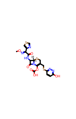 CON=C(C(=O)NC1C(=O)N2C(OC(=O)O)=C(CSc3ccc(O)nn3)CS[C@@H]12)c1cscn1